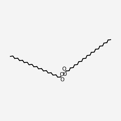 CCCCCCCCCCCCCCCCCCCCCC(=O)OOC(=O)CCCCCCCCCCCCCCCCCCCCC